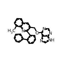 Cc1cccc2cc(COc3ncnc4[nH]cnc34)c(-c3ccccc3-c3ccccc3)nc12